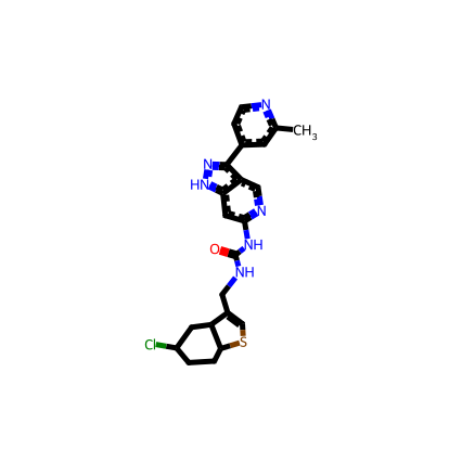 Cc1cc(-c2n[nH]c3cc(NC(=O)NCC4=CSC5CCC(Cl)CC45)ncc23)ccn1